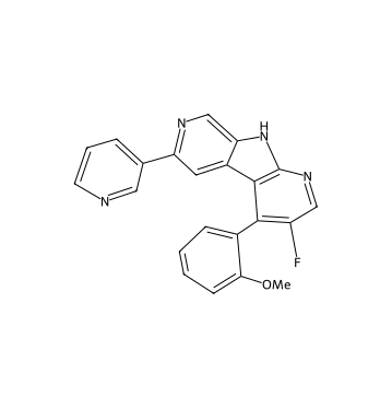 COc1ccccc1-c1c(F)cnc2[nH]c3cnc(-c4cccnc4)cc3c12